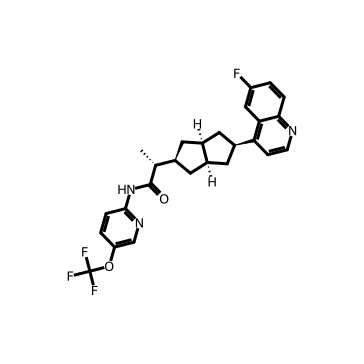 C[C@@H](C(=O)Nc1ccc(OC(F)(F)F)cn1)[C@H]1C[C@H]2C[C@@H](c3ccnc4ccc(F)cc34)C[C@H]2C1